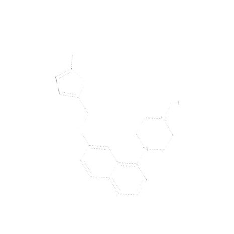 Cc1ccc(COc2ccc3cccc(N4CCN(C)CC4)c3c2)s1